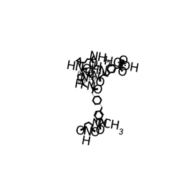 Cn1c(=O)n(C2CCC(=O)NC2=O)c2ccc(C[C@H]3CC[C@@H](CC(=O)N4CC[C@H]5CC[C@@H](C(=O)NC6(CCC(N)=O)CC6)N5C(=O)[C@@H](NC(=O)c5cc6cc(C(=O)P(=O)(O)O)ccc6[nH]5)C4)CC3)cc21